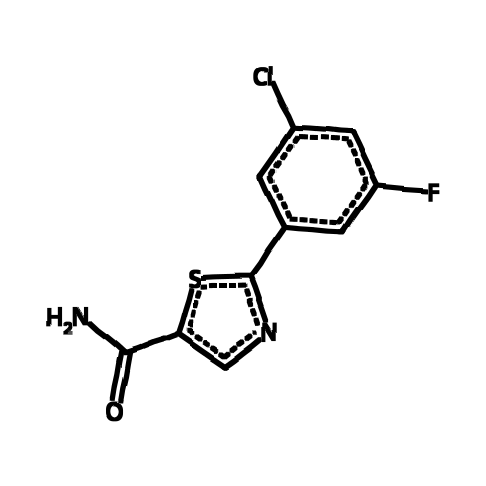 NC(=O)c1cnc(-c2cc(F)cc(Cl)c2)s1